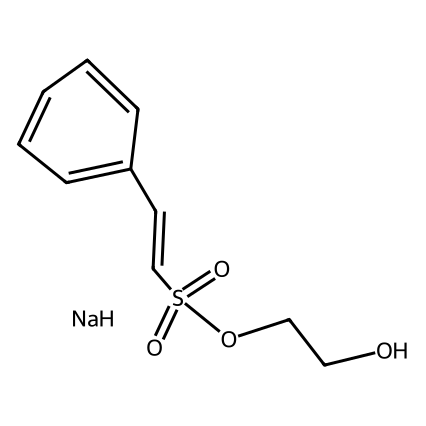 O=S(=O)(C=Cc1ccccc1)OCCO.[NaH]